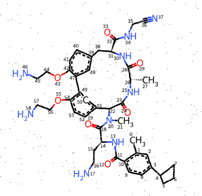 Cc1cc(C2CCC2)ccc1C(=O)N[C@@H](CCN)C(=O)N(C)[C@@H]1C(=O)N[C@@H](C)C(=O)N[C@H](C(=O)NCC#N)Cc2ccc(OCCN)c(c2)-c2cc1ccc2OCCN